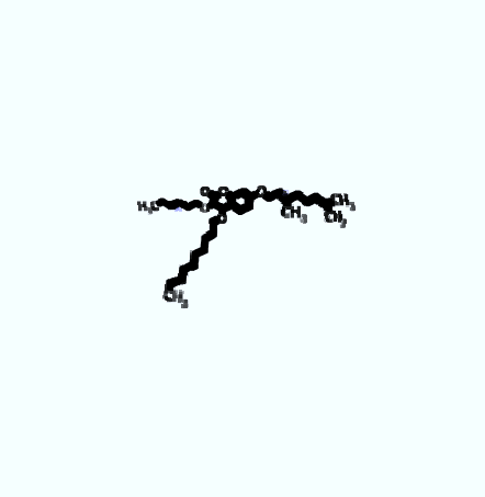 CC/C=C/CCOc1c(OCCCCCCCCCC)c2ccc(OC/C=C(\C)CCC=C(C)C)cc2oc1=O